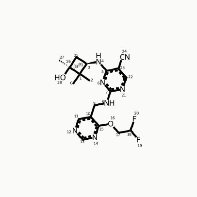 CC1(C)[C@H](Nc2nc(NCc3cncnc3OCC(F)F)ncc2C#N)C[C@]1(C)O